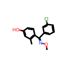 CO/N=C(\c1cccc(Cl)c1)c1ccc(O)cc1C